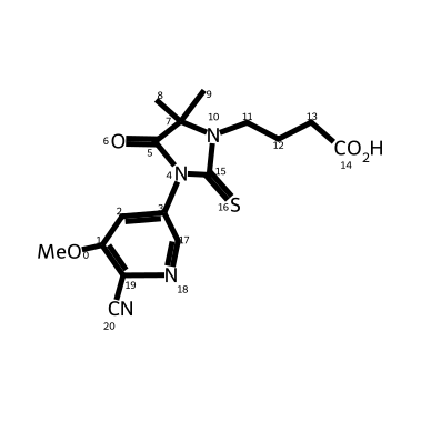 COc1cc(N2C(=O)C(C)(C)N(CCCC(=O)O)C2=S)cnc1C#N